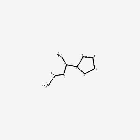 N#CC(CSN)C1CCCC1